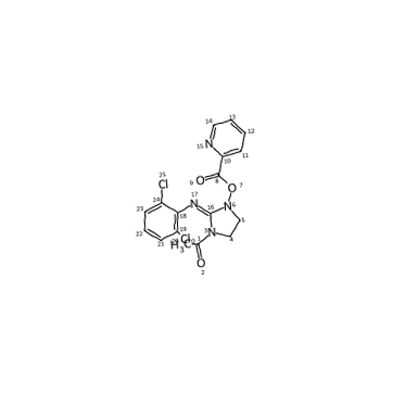 CC(=O)N1CCN(OC(=O)c2ccccn2)C1=Nc1c(Cl)cccc1Cl